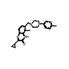 Cc1ccc(N2CCN(Cc3ccc4nc(C5CC5)c(=O)[nH]c4c3F)CC2)cn1